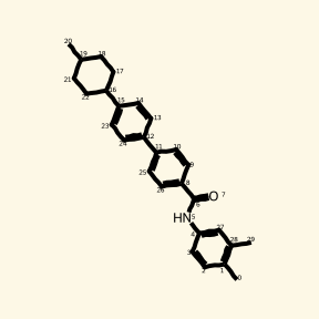 Cc1ccc(NC(=O)c2ccc(-c3ccc(C4CCC(C)CC4)cc3)cc2)cc1C